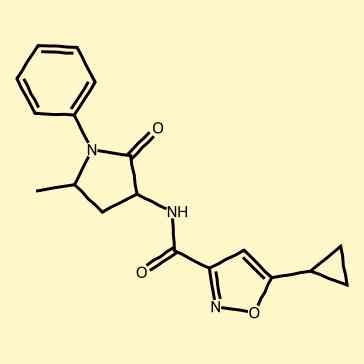 CC1CC(NC(=O)c2cc(C3CC3)on2)C(=O)N1c1ccccc1